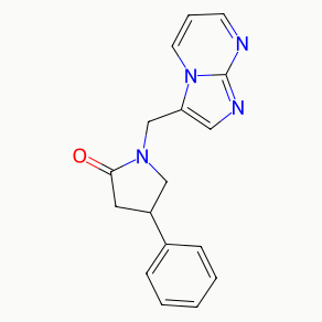 O=C1CC(c2ccccc2)CN1Cc1cnc2ncccn12